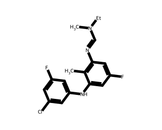 CCN(C)C=Nc1cc(F)cc(Nc2cc(F)cc(Cl)c2)c1C